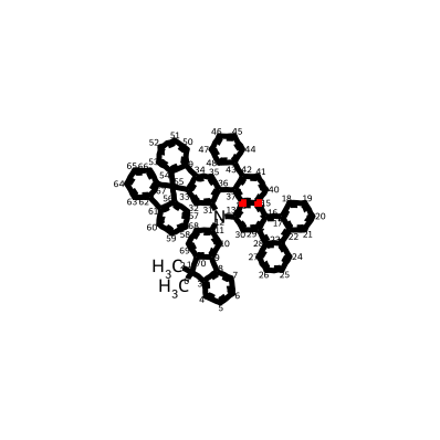 CC1(C)c2ccccc2-c2cc(N(c3ccc4c5ccccc5c5ccccc5c4c3)c3cc4c(cc3-c3ccccc3-c3ccccc3)-c3ccccc3C43c4ccccc4-c4ccccc43)ccc21